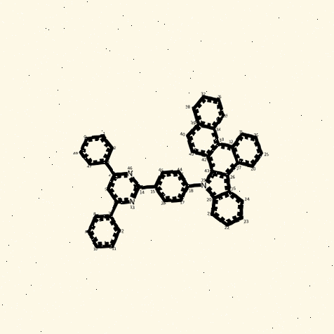 c1ccc(-c2cc(-c3ccccc3)nc(-c3ccc(-n4c5ccccc5c5c6ccccc6c6c7ccccc7ccc6c54)cc3)n2)cc1